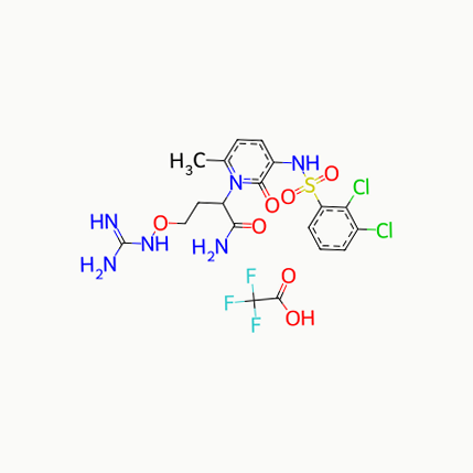 Cc1ccc(NS(=O)(=O)c2cccc(Cl)c2Cl)c(=O)n1C(CCONC(=N)N)C(N)=O.O=C(O)C(F)(F)F